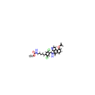 CC(C)(C)OC(=O)NCCCCCc1cc(Cl)c(CNC2(c3cnccc3-c3ccccc3OC3CC3)CC2)cc1Cl